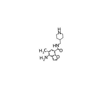 Cc1cc(C(=O)NCC2CCNCC2)c2occc2c1N